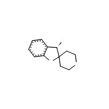 N[C@@H]1c2ccccc2OC12CCNCC2